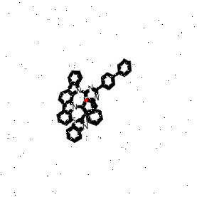 c1ccc(-c2ccc(-c3nc(-c4ccccc4)nc(-n4c5ccccc5c5ccc6c7ccccc7n(-c7ccccc7-c7nc8ccccc8s7)c6c54)n3)cc2)cc1